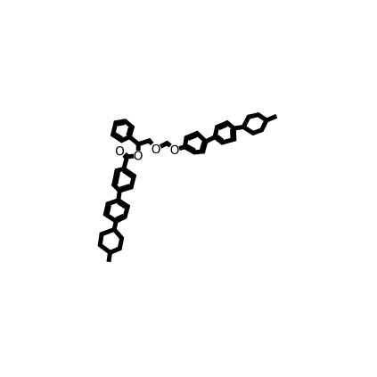 CC1CCC(c2ccc(-c3ccc(OCOCC(OC(=O)c4ccc(-c5ccc(C6CCC(C)CC6)cc5)cc4)c4ccccc4)cc3)cc2)CC1